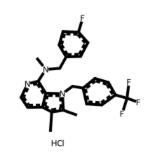 Cc1c(C)n(Cc2ccc(C(F)(F)F)cc2)c2c(N(C)Cc3ccc(F)cc3)nccc12.Cl